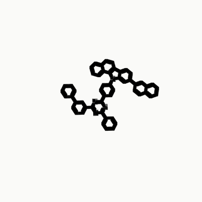 c1ccc(-c2cccc(-c3nc(-c4ccccc4)nc(-c4ccc(-n5c6cc(-c7ccc8ccccc8c7)ccc6c6ccc7ccccc7c65)cc4)n3)c2)cc1